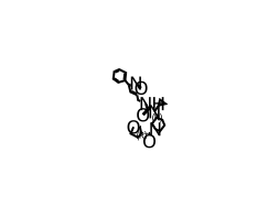 O=C([C@@H]1CCOC1)N1CCC[C@@H](N(C(=O)NCc2cc(-c3ccccc3)no2)C2CC2)C1